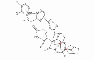 CC(Oc1cc(-c2cnn(C3CCC(CN4CC5CCC(C4)N5c4cc5c(cc4F)C(=O)N(C4CCC(=O)NC4=O)C5=O)CC3)c2)cnc1N)c1c(Cl)ccc(F)c1Cl